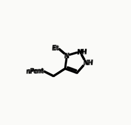 CCCCCCC1=CNNN1CC